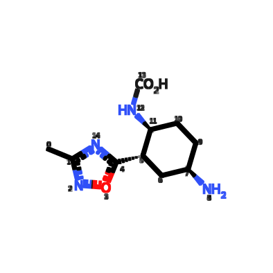 Cc1noc([C@H]2C[C@H](N)CC[C@@H]2NC(=O)O)n1